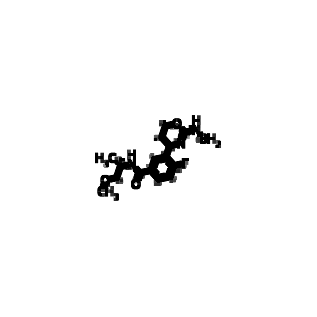 BNC1=NC(c2cc(C(=O)N[C@@H](C)COC)ccc2F)CCO1